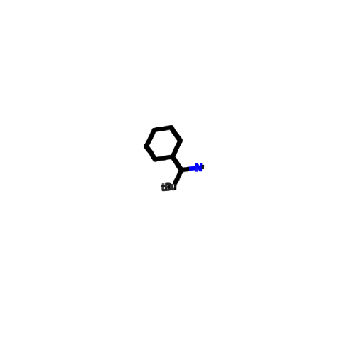 CC(C)(C)C([N])C1CCCCC1